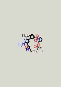 Cc1cc(-c2cc(-c3cc(S(=O)(=O)N4CCC[C@H]4COC(=O)C(F)(F)F)ccc3C)cnc2N)on1